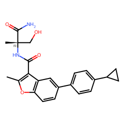 Cc1oc2ccc(-c3ccc(C4CC4)cc3)cc2c1C(=O)N[C@@](C)(CO)C(N)=O